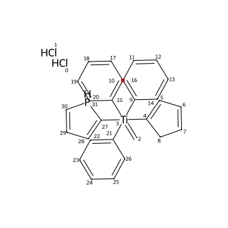 Cl.Cl.[CH2]=[Ti]([C]1=CC=CC1)([c]1ccccc1)([c]1ccccc1)([c]1ccccc1)[c]1ccc[pH]1